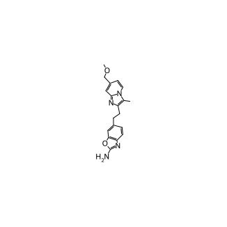 COCc1ccn2c(C)c(CCc3ccc4nc(N)oc4c3)nc2c1